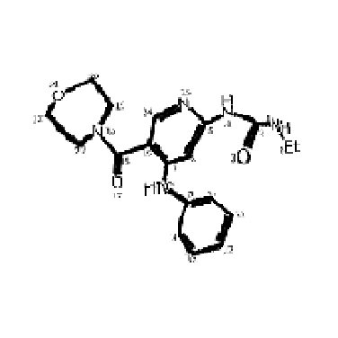 CCNC(=O)Nc1cc(Nc2ccccc2)c(C(=O)N2CCOCC2)cn1